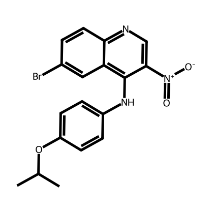 CC(C)Oc1ccc(Nc2c([N+](=O)[O-])cnc3ccc(Br)cc23)cc1